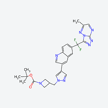 Cc1cnc2nnc(C(F)(F)c3ccc4ncc(-c5cnn(CC6CN(C(=O)OC(C)(C)C)C6)c5)cc4c3)n2n1